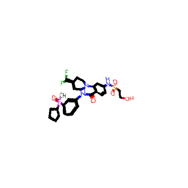 CP(=O)(c1cccc(NC(=O)c2ccc(NS(=O)(=O)CCO)cc2N2CCC(=C(F)F)CC2)c1)C1CCCC1